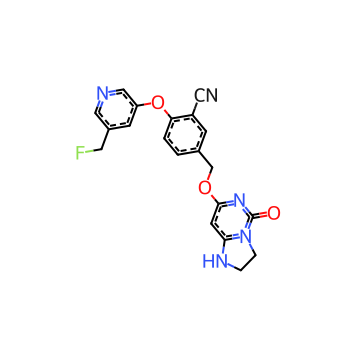 N#Cc1cc(COc2cc3n(c(=O)n2)CCN3)ccc1Oc1cncc(CF)c1